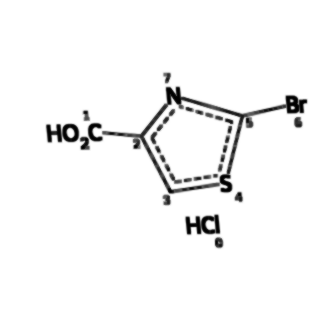 Cl.O=C(O)c1csc(Br)n1